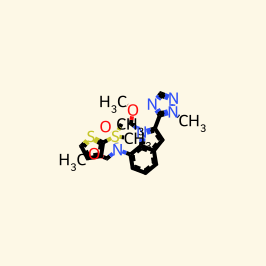 COCN(c1cccc2cc(-c3ncnn3C)n(COC)c12)S(C)(C)(=O)c1cccs1